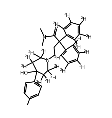 [2H]c1c([2H])c([2H])c(C(CCN2C([2H])([2H])C([2H])([2H])C(O)(c3ccc(C)cc3)C([2H])([2H])C2([2H])[2H])(C(=O)N(C)C)c2c([2H])c([2H])c([2H])c([2H])c2[2H])c([2H])c1[2H]